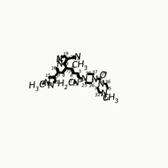 C=N/C(=C\C=C(/C)c1cc(-c2cnn(C)c2)cn2ncc(C#N)c12)N1CCN(C(=O)N2CCN(C)CC2)CC1